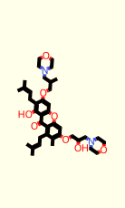 CC(C)=CCc1c(OCC(C)CN2CCOCC2)cc2oc3cc(OCC(O)CN4CCOCC4)c(C)c(CC=C(C)C)c3c(=O)c2c1O